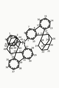 c1ccc(N(c2ccc3c(c2)C2(c4ccccc4-3)C3CC4CC(C3)CC2C4)c2cccc3c2C2(c4ccccc4-3)C3CC4CC(C3)CC2C4)cc1